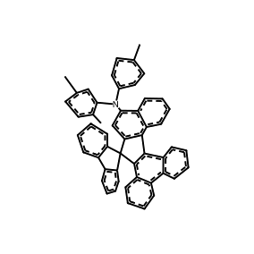 Cc1ccc(N(c2cc(C)ccc2C)c2cc3c(c4ccccc24)-c2c(c4ccccc4c4ccccc24)C32c3ccccc3-c3ccccc32)cc1